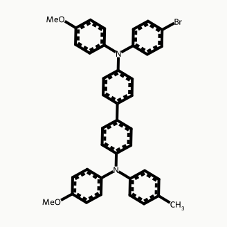 COc1ccc(N(c2ccc(C)cc2)c2ccc(-c3ccc(N(c4ccc(Br)cc4)c4ccc(OC)cc4)cc3)cc2)cc1